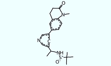 CC(N[S@+]([O-])C(C)(C)C)c1cncc(-c2ccc3c(c2)CCC(=O)N3C)c1